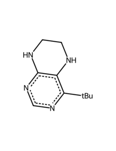 CC(C)(C)c1ncnc2c1NCCN2